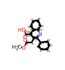 COC(=O)Cc1c(-c2ccccc2)nc2ccccc2c1C(=O)O